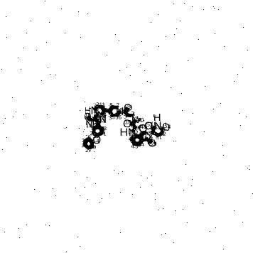 CN(CCC(=O)N1CCC(C2CCNc3c(C(N)=O)c(-c4ccc(Oc5ccccc5)cc4)nn32)CC1)C(=O)CNc1cccc2c1C(=O)N(C1CCC(=O)NC1=O)C2=O